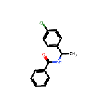 CC(NC(=O)c1ccccc1)c1ccc(Cl)cc1